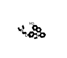 CCN(CC)CCOc1ccc(CN(CC)C2C=CC=CC2[C@@H]2CCc3cc(O)ccc3C2)cc1